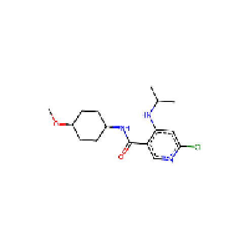 CO[C@H]1CC[C@@H](NC(=O)c2cnc(Cl)cc2NC(C)C)CC1